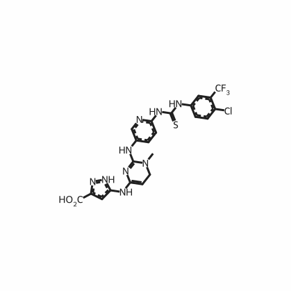 CN1CC=C(Nc2cc(C(=O)O)n[nH]2)N=C1Nc1ccc(NC(=S)Nc2ccc(Cl)c(C(F)(F)F)c2)nc1